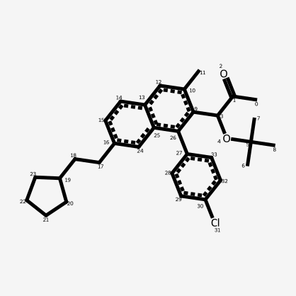 CC(=O)C(OC(C)(C)C)c1c(C)cc2ccc(CCC3CCCC3)cc2c1-c1ccc(Cl)cc1